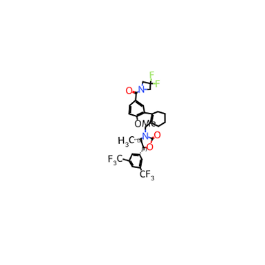 COc1ccc(C(=O)N2CC(F)(F)C2)cc1C1=C(CN2C(=O)O[C@H](c3cc(C(F)(F)F)cc(C(F)(F)F)c3)[C@@H]2C)CCCC1